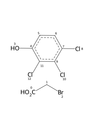 O=C(O)CBr.Oc1ccc(Cl)c(Cl)c1Cl